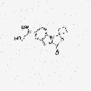 CC(C)(C)N(C(=O)O)c1ccc2c(c1)cc1n2C2(CCC2)OC1=O